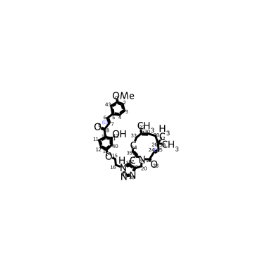 COc1cccc(/C=C/C(=O)c2ccc(OCCn3cc(CN4C(=O)/C=C/C(C)(C)CC=C(C)CCC=C4C)nn3)cc2O)c1